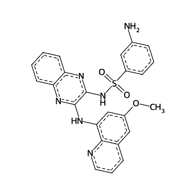 COc1cc(Nc2nc3ccccc3nc2NS(=O)(=O)c2cccc(N)c2)c2ncccc2c1